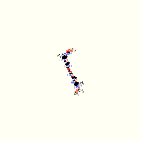 C=C(ONNc1ccc(NC(=O)C[n+]2cccc(CONCCOCCOCCNC(=O)c3ccc[n+](CC(=O)Nc4ccc(NNC(=O)CS(C)(=O)=O)c(C)c4)c3)c2)cc1C)OOSC